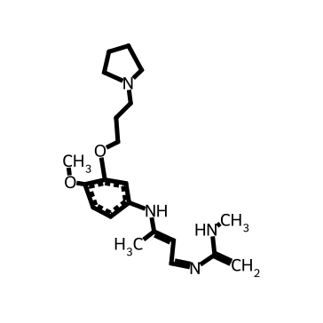 C=C(/N=C\C=C(/C)Nc1ccc(OC)c(OCCCN2CCCC2)c1)NC